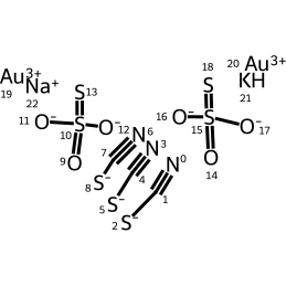 N#C[S-].N#C[S-].N#C[S-].O=S([O-])([O-])=S.O=S([O-])([O-])=S.[Au+3].[Au+3].[KH].[Na+]